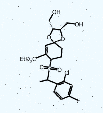 CCOC(=O)C1=CC2(CCC1S(=O)(=O)C(C)c1ccc(F)cc1Cl)O[C@H](CO)[C@@H](CO)O2